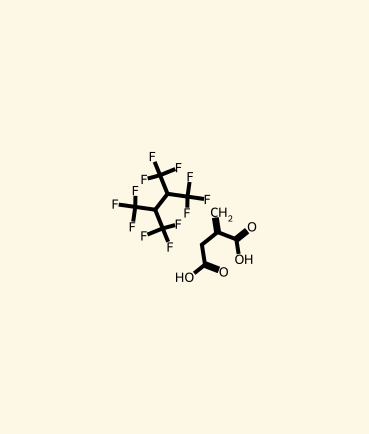 C=C(CC(=O)O)C(=O)O.FC(F)(F)C(C(C(F)(F)F)C(F)(F)F)C(F)(F)F